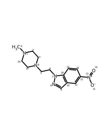 CN1CCN(CCn2ncc3cc([N+](=O)[O-])ccc32)CC1